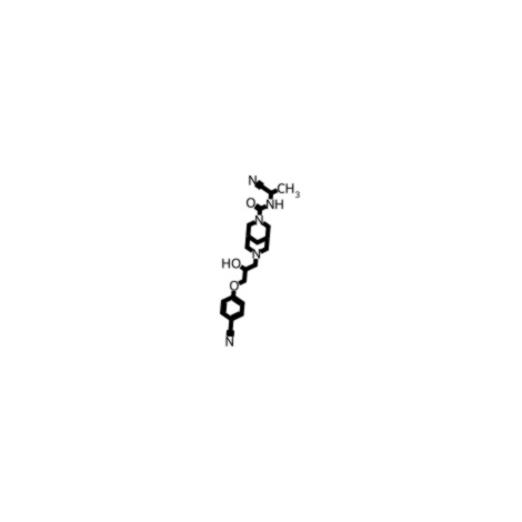 CC(C#N)NC(=O)N1CC2CC(CN(CC(O)COc3ccc(C#N)cc3)C2)C1